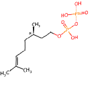 CC(C)=CCC[C@@H](C)CCOP(=O)(O)OP(=O)(O)O